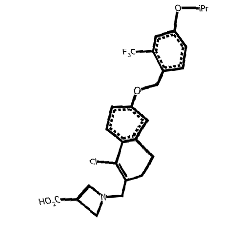 CC(C)Oc1ccc(COc2ccc3c(c2)CCC(CN2CC(C(=O)O)C2)=C3Cl)c(C(F)(F)F)c1